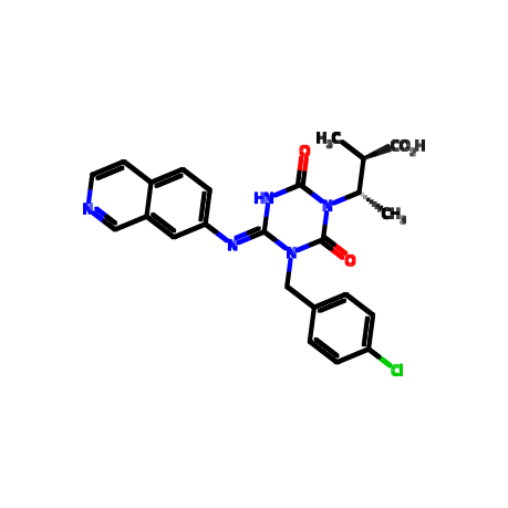 C[C@@H](C(=O)O)[C@H](C)n1c(=O)[nH]/c(=N\c2ccc3ccncc3c2)n(Cc2ccc(Cl)cc2)c1=O